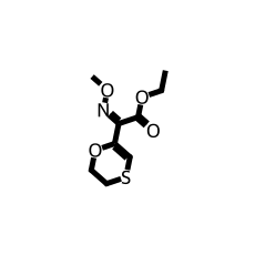 CCOC(=O)C(=NOC)C1=CSCCO1